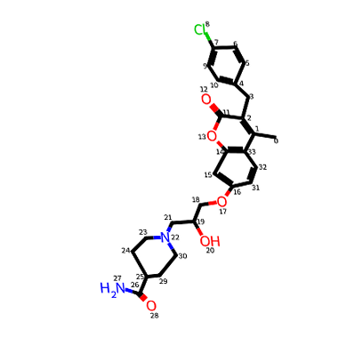 Cc1c(Cc2ccc(Cl)cc2)c(=O)oc2cc(OCC(O)CN3CCC(C(N)=O)CC3)ccc12